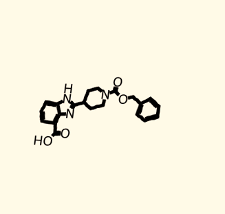 O=C(O)c1cccc2[nH]c(C3CCN(C(=O)OCc4ccccc4)CC3)nc12